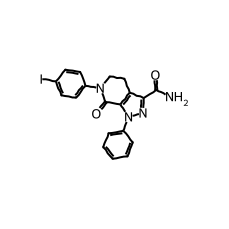 NC(=O)c1nn(-c2ccccc2)c2c1CCN(c1ccc(I)cc1)C2=O